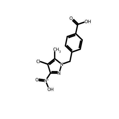 Cc1c(Cl)c([N+](=O)O)nn1Cc1ccc(C(=O)O)cc1